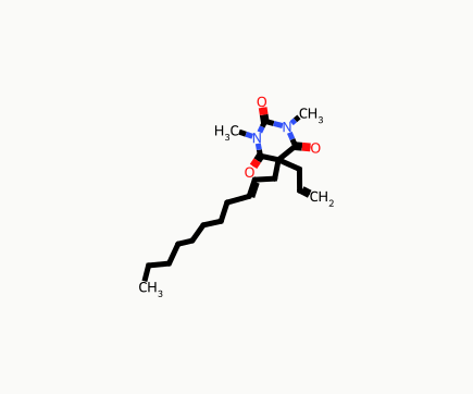 C=CCC1(CC=CCCCCCCCC)C(=O)N(C)C(=O)N(C)C1=O